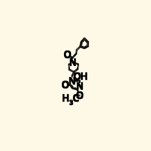 COc1cc(=O)n(CC2(O)CCN(C(=O)CCc3ccccc3)CC2)cn1